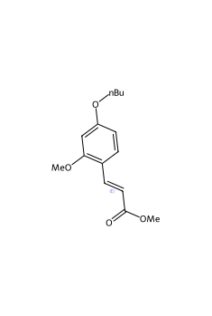 CCCCOc1ccc(/C=C/C(=O)OC)c(OC)c1